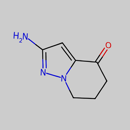 Nc1cc2n(n1)CCCC2=O